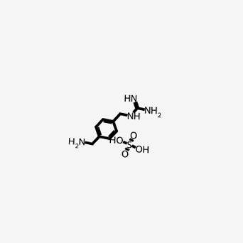 N=C(N)NCc1ccc(CN)cc1.O=S(=O)(O)O